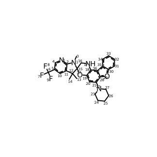 CN1c2ncc(C(F)(F)F)cc2C(C)(C)C12CNc1c(cc(N3CCCCC3)c3oc4ccccc4c13)O2